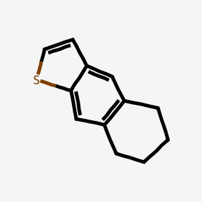 c1cc2cc3c(cc2s1)CCCC3